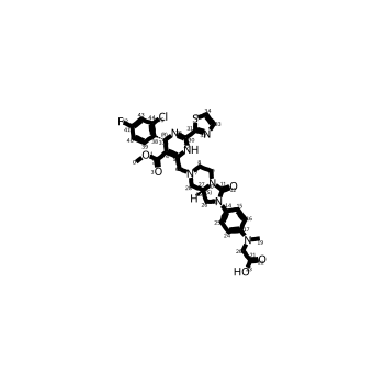 COC(=O)C1=C(CN2CCN3C(=O)N(c4ccc(N(C)CC(=O)O)cc4)C[C@@H]3C2)NC(c2nccs2)=N[C@H]1c1ccc(F)cc1Cl